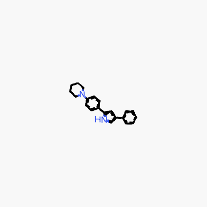 c1ccc(-c2c[nH]c(-c3ccc(N4CCCCC4)cc3)c2)cc1